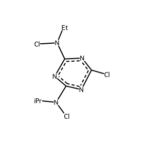 CCN(Cl)c1nc(Cl)nc(N(Cl)C(C)C)n1